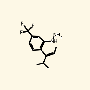 C/C=C(\c1ccc(C(F)(F)F)cc1NN)C(C)C